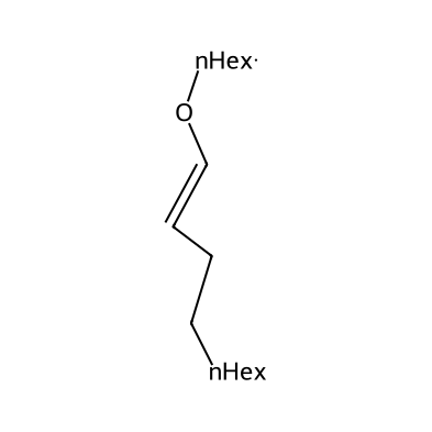 CCCCC[CH]O/C=C/CCCCCCCC